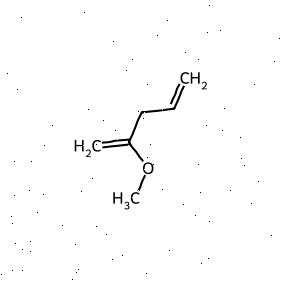 C=CCC(=C)OC